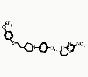 O=[N+]([O-])c1cn2c(n1)O[C@@H](COc1ccc(N3CCC(CCSc4ccc(OC(F)(F)F)cc4)CC3)cc1)CC2